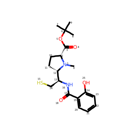 CN1[C@@H](C(=O)OC(C)(C)C)CC[C@H]1[C@H](CS)NC(=O)c1ccccc1O